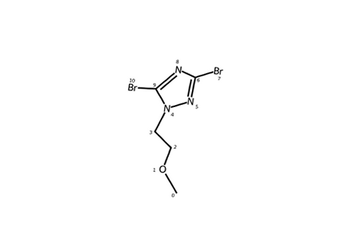 COCCn1nc(Br)nc1Br